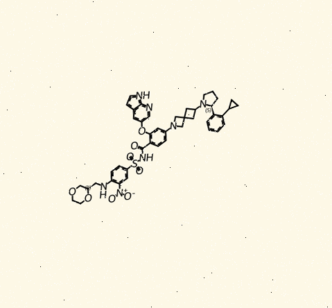 O=C(NS(=O)(=O)c1ccc(NC[C@@H]2COCCO2)c([N+](=O)[O-])c1)c1ccc(N2CC3(CC(N4CCC[C@H]4c4ccccc4C4CC4)C3)C2)cc1Oc1cnc2[nH]ccc2c1